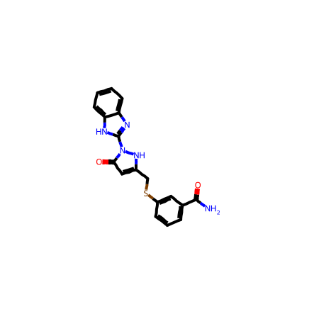 NC(=O)c1cccc(SCc2cc(=O)n(-c3nc4ccccc4[nH]3)[nH]2)c1